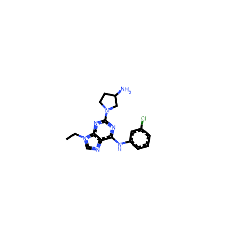 CCn1cnc2c(Nc3cccc(Cl)c3)nc(N3CCC(N)C3)nc21